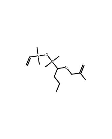 C=C[Si](C)(C)O[Si](C)(C)C(CCC)OCC(=C)C